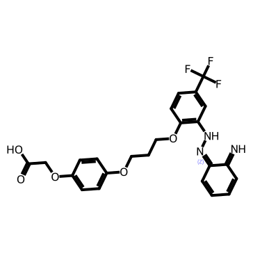 N=C1C=CC=C/C1=N/Nc1cc(C(F)(F)F)ccc1OCCCOc1ccc(OCC(=O)O)cc1